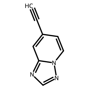 C#Cc1ccn2ncnc2c1